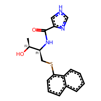 C[C@H](O)[C@H](CSc1cccc2ccccc12)NC(=O)c1c[nH]cn1